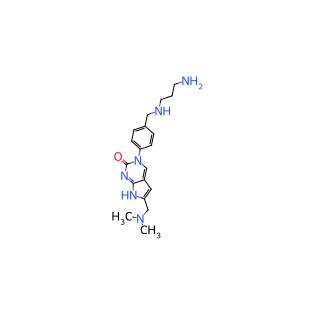 CN(C)Cc1cc2cn(-c3ccc(CNCCCN)cc3)c(=O)nc2[nH]1